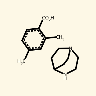 C1CN2CCC(CC2)N1.Cc1ccc(C(=O)O)c(C)c1